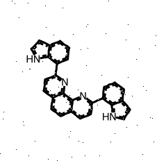 c1cc(-c2ccc3ccc4ccc(-c5cccc6cc[nH]c56)nc4c3n2)c2[nH]ccc2c1